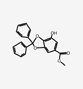 COC(=O)c1cc(O)c2c(c1)OC(c1ccccc1)(c1ccccc1)O2